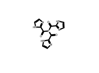 O=C(c1ncc[nH]1)P(C(=O)c1ncc[nH]1)C(=O)c1ncc[nH]1